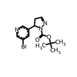 CC(C)(C)OC(=O)N1N=CCC1c1cncc(Br)c1